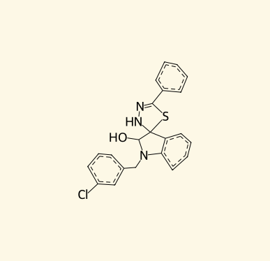 OC1N(Cc2cccc(Cl)c2)c2ccccc2C12NN=C(c1ccccc1)S2